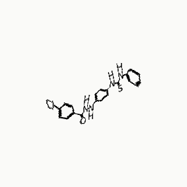 O=C(NNc1ccc(NC(=S)Nc2ccccc2)cc1)c1ccc(Cl)cc1